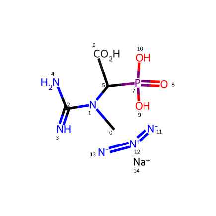 CN(C(=N)N)C(C(=O)O)P(=O)(O)O.[N-]=[N+]=[N-].[Na+]